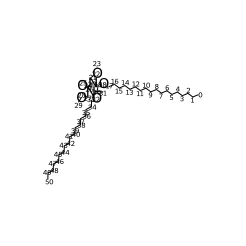 CCCCCCCCCCCCCCCCCCOC1N(COC)C(=O)N(COC)C1(C)OCCCCCCCCCCCCCCCCCC